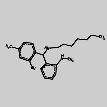 CCCCCCCNC(c1ccc(C)cc1S)c1ccccc1NC